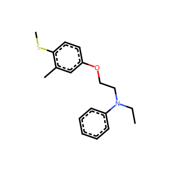 CCN(CCOc1ccc(SC)c(C)c1)c1ccccc1